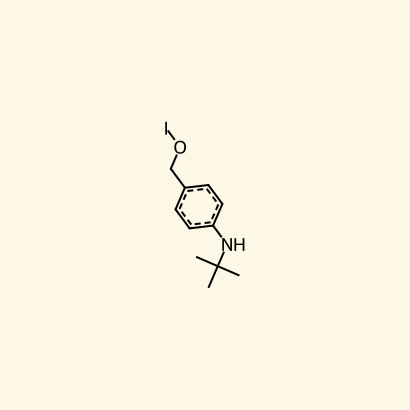 CC(C)(C)Nc1ccc(COI)cc1